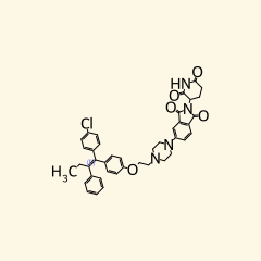 CC/C(=C(\c1ccc(Cl)cc1)c1ccc(OCCN2CCN(c3ccc4c(c3)C(=O)N(C3CCC(=O)NC3=O)C4=O)CC2)cc1)c1ccccc1